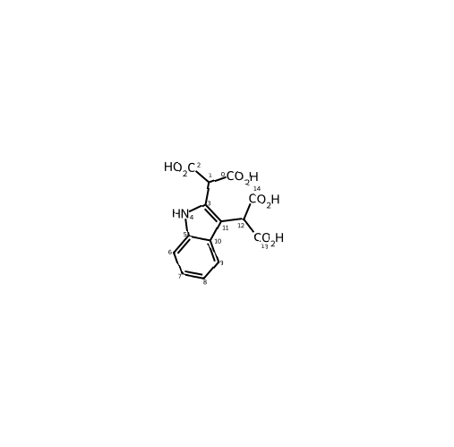 O=C(O)C(C(=O)O)c1[nH]c2ccccc2c1C(C(=O)O)C(=O)O